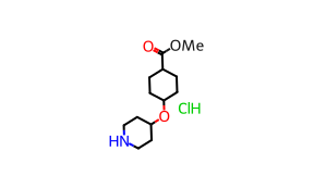 COC(=O)C1CCC(OC2CCNCC2)CC1.Cl